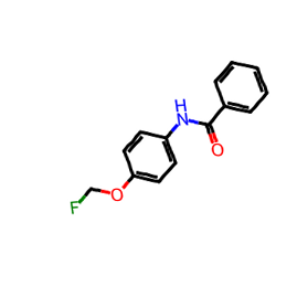 O=C(Nc1ccc(OCF)cc1)c1ccccc1